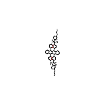 CCCCc1ccc2nc(-c3ccc(-c4c5ccccc5c(-c5ccc(-c6nc7ccc(CCCC)cc7s6)cc5)c5c(-c6ccccc6)c6ccccc6c(-c6ccccc6)c45)cc3)sc2c1